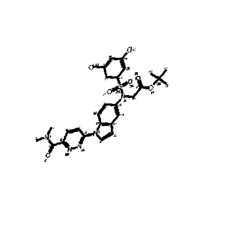 CN(C)C(=O)c1ccc(-n2ccc3cc(N(CC(=O)OC(C)(C)C)S(=O)(=O)C4C=C(Cl)C=C(Cl)C4)ccc32)nn1